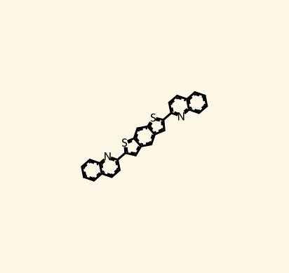 c1ccc2nc(-c3cc4cc5cc(-c6ccc7ccccc7n6)sc5cc4s3)ccc2c1